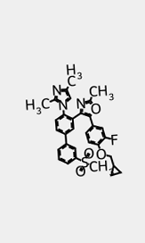 Cc1cn(-c2ccc(-c3cccc(S(C)(=O)=O)c3)cc2-c2nc(C)oc2-c2ccc(OCC3CC3)c(F)c2)c(C)n1